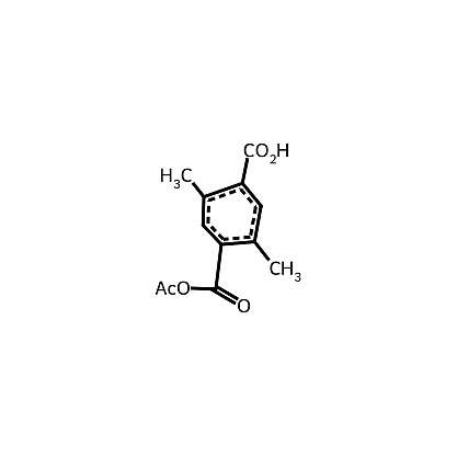 CC(=O)OC(=O)c1cc(C)c(C(=O)O)cc1C